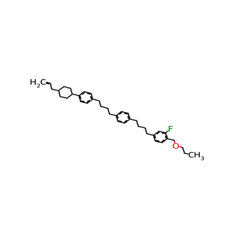 C=CCC1CCC(c2ccc(CCCCc3ccc(CCCCc4ccc(COCCC)c(F)c4)cc3)cc2)CC1